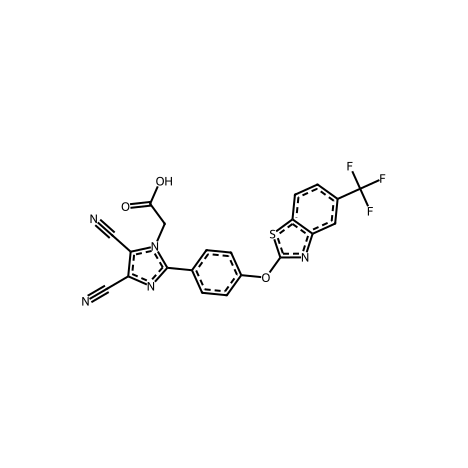 N#Cc1nc(-c2ccc(Oc3nc4cc(C(F)(F)F)ccc4s3)cc2)n(CC(=O)O)c1C#N